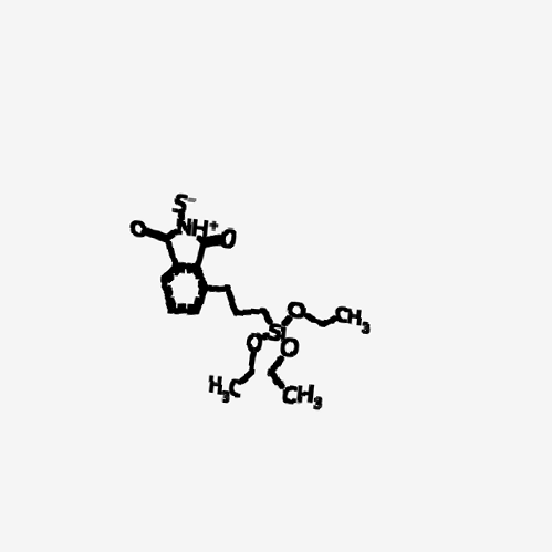 CCO[Si](CCCc1cccc2c1C(=O)[NH+]([S-])C2=O)(OCC)OCC